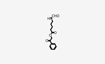 O=CNCCCCC(=O)OCC(=O)c1ccccc1